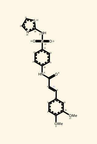 COc1ccc(/C=C/C(=O)Nc2ccc(S(=O)(=O)Nc3nccs3)cc2)cc1OC